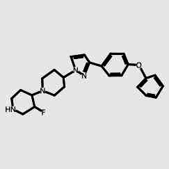 FC1CNCCC1N1CCC(n2ccc(-c3ccc(Oc4ccccc4)cc3)n2)CC1